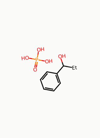 CCC(O)c1ccccc1.O=P(O)(O)O